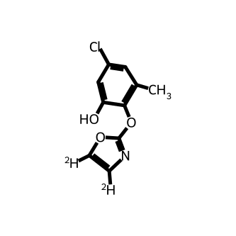 [2H]c1nc(Oc2c(C)cc(Cl)cc2O)oc1[2H]